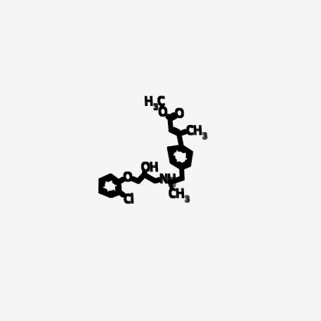 COC(=O)C=C(C)c1ccc(C[C@@H](C)NCC(O)COc2ccccc2Cl)cc1